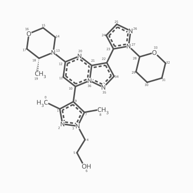 Cc1nn(CCO)c(C)c1-c1cc(N2CCOC[C@H]2C)nc2c(-c3ccnn3C3CCCCO3)cnn12